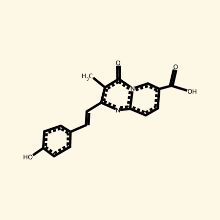 Cc1c(C=Cc2ccc(O)cc2)nc2ccc(C(=O)O)cn2c1=O